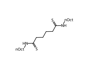 CCCCCCCCNC(=S)CCCCC(=S)NCCCCCCCC